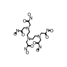 O=NC(=O)CN(CCN(CC(=O)N=O)CC(=O)N=O)CCN(CC(=O)N=O)CC(=O)N=O